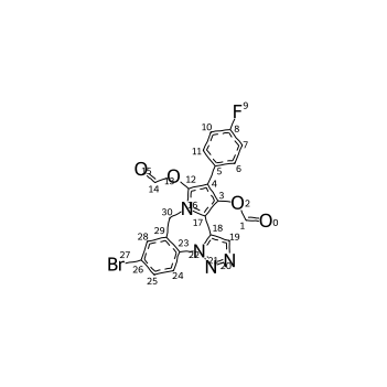 O=COc1c(-c2ccc(F)cc2)c(OC=O)n2c1-c1cnnn1-c1ccc(Br)cc1C2